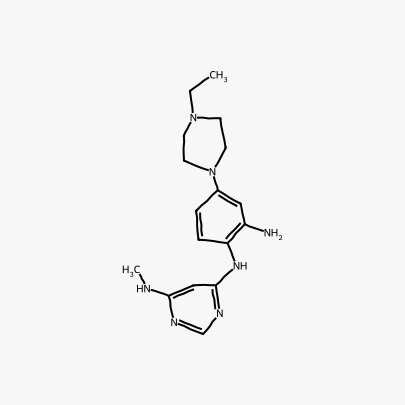 CCN1CCN(c2ccc(Nc3cc(NC)ncn3)c(N)c2)CC1